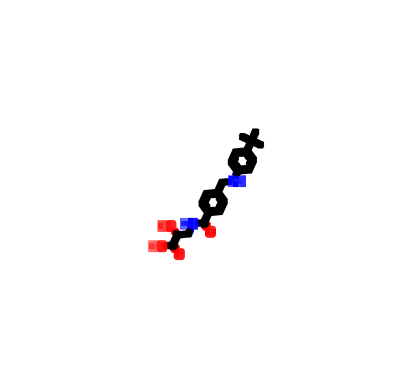 CC(C)(C)c1ccc(NCc2ccc(C(=O)NCC(O)C(=O)O)cc2)cc1